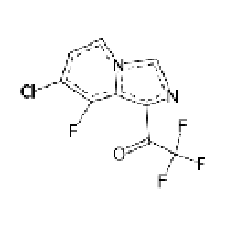 O=C(c1ncn2ccc(Cl)c(F)c12)C(F)(F)F